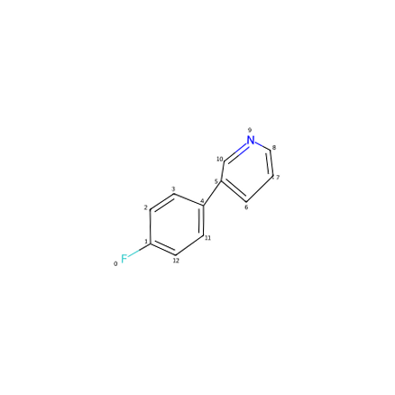 Fc1ccc(-c2c[c]cnc2)cc1